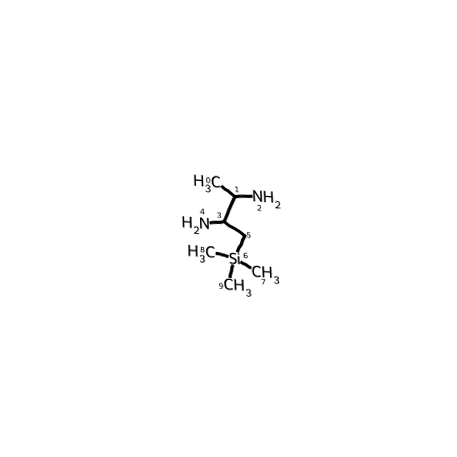 CC(N)C(N)C[Si](C)(C)C